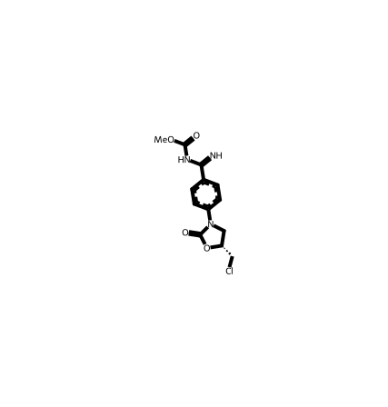 COC(=O)NC(=N)c1ccc(N2C[C@H](CCl)OC2=O)cc1